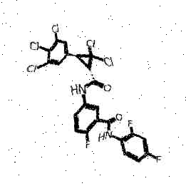 O=C(Nc1ccc(F)cc1F)c1cc(NC(=O)[C@@H]2[C@@H](c3cc(Cl)c(Cl)c(Cl)c3)C2(Cl)Cl)ccc1F